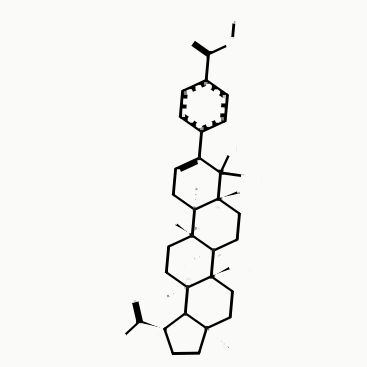 C=C(C)[C@@H]1CC[C@]2(N)CC[C@]3(C)[C@H](CC[C@@H]4[C@@]5(C)CC=C(c6ccc(C(=O)OC)cc6)C(C)(C)[C@@H]5CC[C@]43C)C12